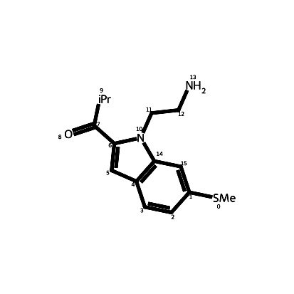 CSc1ccc2cc(C(=O)C(C)C)n(CCN)c2c1